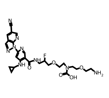 N#Cc1cnc2c(cnn2-c2cc(NC3CC3)c(C(=O)NCC(F)COCCN(CCOCCN)C(=O)O)cn2)c1